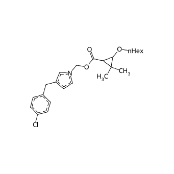 CCCCCCOC1C(C(=O)OCn2ccc(Cc3ccc(Cl)cc3)c2)C1(C)C